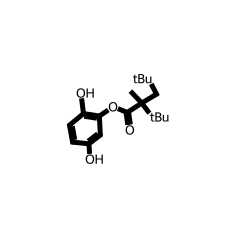 CC(C)(C)CC(C)(C(=O)Oc1cc(O)ccc1O)C(C)(C)C